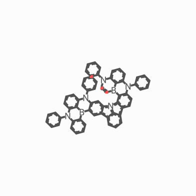 c1ccc(N2c3ccccc3B3c4cc5c6cccc7c8ccc9c(c8n(c5cc4N(c4ccccc4)c4cccc2c43)c67)B2c3ccccc3N(c3ccccc3)c3cccc(c32)N9c2ccccc2)cc1